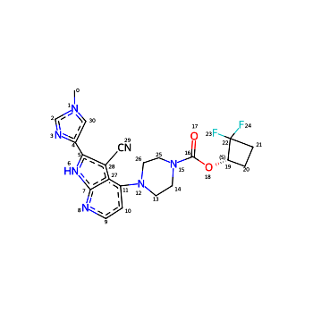 Cn1cnc(-c2[nH]c3nccc(N4CCN(C(=O)O[C@H]5CCC5(F)F)CC4)c3c2C#N)c1